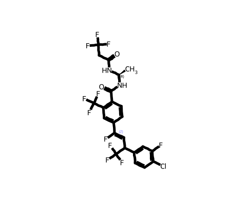 C[C@H](NC(=O)CC(F)(F)F)NC(=O)c1ccc(/C(F)=C/C(c2ccc(Cl)c(F)c2)C(F)(F)F)cc1C(F)(F)F